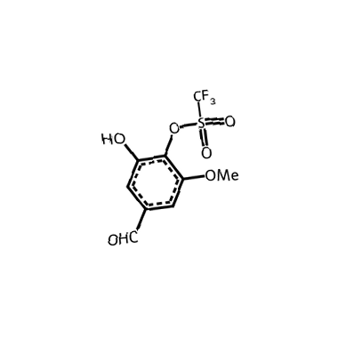 COc1cc(C=O)cc(O)c1OS(=O)(=O)C(F)(F)F